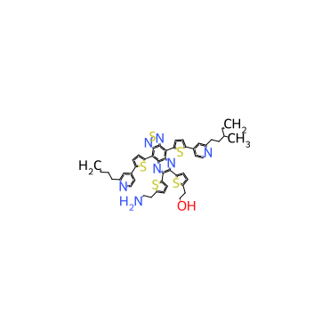 C=CCCc1cc(-c2ccc(-c3c4nsnc4c(-c4ccc(-c5ccnc(CCC(C)C=C)c5)s4)c4nc(-c5ccc(CCO)s5)c(-c5ccc(CCN)s5)nc34)s2)ccn1